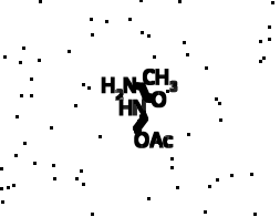 CC(=O)OCCNC(=O)[C@@H](C)N